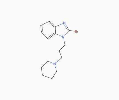 Brc1nc2ccccc2n1CCCN1CCCCC1